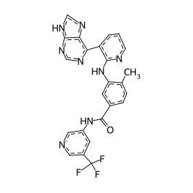 Cc1ccc(C(=O)Nc2cncc(C(F)(F)F)c2)cc1Nc1ncccc1-c1ncnc2[nH]cnc12